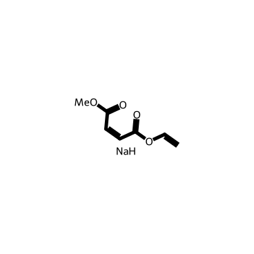 C=COC(=O)/C=C\C(=O)OC.[NaH]